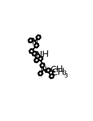 CC1(C)c2ccccc2-c2cc(N(c3ccccc3)c3ccc(-c4ccc5c6c(cccc46)-c4cc6cccc(-c7cccc(N(c8ccccc8)c8ccccc8)c7)c6cc4N5)cc3)ccc21